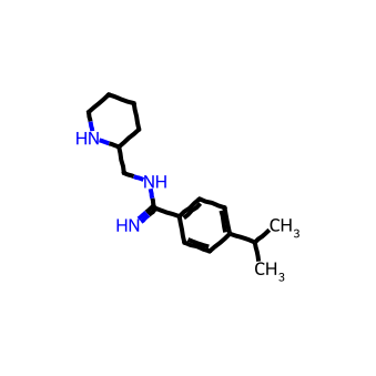 CC(C)c1ccc(C(=N)NCC2CCCCN2)cc1